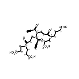 C#CC(=O)N(CCC(=O)N(CCCC=O)CCC(=O)O)N(CCC(=O)N(CCC(=O)O)CCC(=O)O)C(=O)C#C